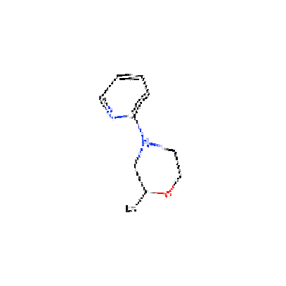 CCC1CN(c2ccccn2)CCO1